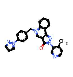 Cc1ccncc1-n1nc2c3ccccc3n(Cc3ccc(-n4cccn4)cc3)cc-2c1=O